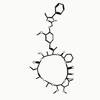 CCC1/C=C(\C)CC(C)CC(OC)C2OC(O)(C(=O)C(=O)N3CCCCC3C(=O)OC(C(C)=CC3CCC(OCc4nc(C)c(-c5ccccc5)[nH]4)C(OC)C3)C(C)C(O)CC1=O)C(C)CC2OC